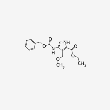 CCOC(=O)c1[nH]cc(NC(=O)OCc2ccccc2)c1COC